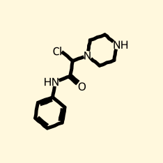 O=C(Nc1ccccc1)C(Cl)N1CCNCC1